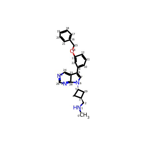 CNC[C@H]1C[C@H](n2cc(-c3cccc(OCc4ccccc4)c3)c3cncnc32)C1